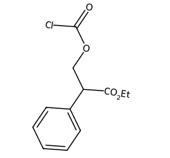 CCOC(=O)C(COC(=O)Cl)c1ccccc1